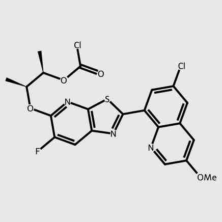 COc1cnc2c(-c3nc4cc(F)c(O[C@@H](C)[C@@H](C)OC(=O)Cl)nc4s3)cc(Cl)cc2c1